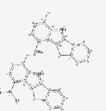 CCN(CC)c1ccc(C)c2[nH]c3c(c12)Cc1ccccc1-3.COc1ccc(C)c2[nH]c3c(c12)Cc1ccccc1-3